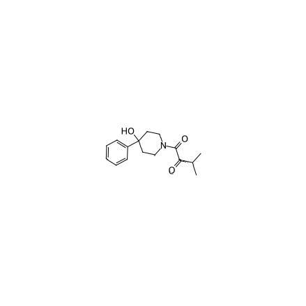 CC(C)C(=O)C(=O)N1CCC(O)(c2ccccc2)CC1